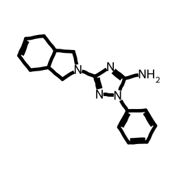 Nc1nc(N2CC3CC=CCC3C2)nn1-c1ccccc1